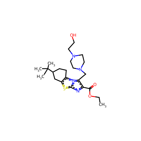 CCOC(=O)c1nc2sc3c(n2c1CN1CCN(CCO)CC1)CCC(C(C)(C)C)C3